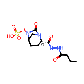 CCCC(=O)NNC(=O)[C@@H]1CCC2CN1C(=O)N2OS(=O)(=O)O